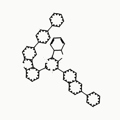 C1=CC2Sc3c(-c4ccc5cc(-c6ccccc6)ccc5c4)nc(-c4cccc5oc6ccc(-c7ccc(-c8ccccc8)cc7)cc6c45)nc3C2C=C1